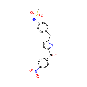 Cn1c(Cc2ccc(NS(C)(=O)=O)cc2)ccc1C(=O)c1ccc([N+](=O)[O-])cc1